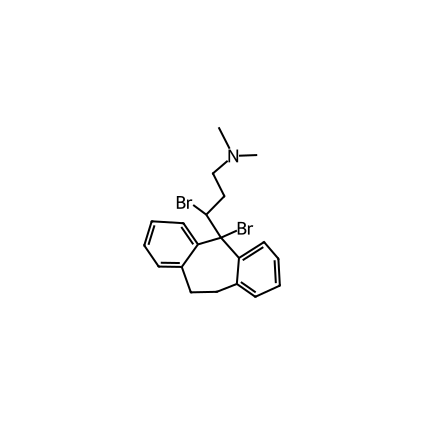 CN(C)CCC(Br)C1(Br)c2ccccc2CCc2ccccc21